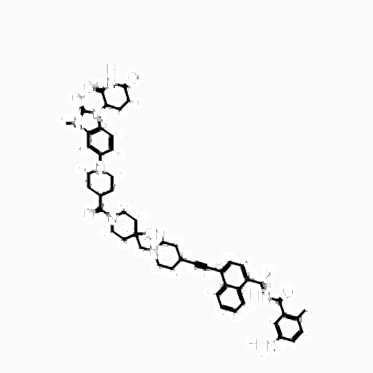 Cc1ccc(N)cc1C(=O)N[C@H](C)c1ccc(C#CC2CCN(CC3(C#N)CCN(C(=O)C4CCN(c5ccc6c(c5)n(C)c(=O)n6C5CCC(=O)NC5=O)CC4)CC3)CC2)c2ccccc12